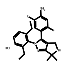 CCc1cccc(CC)c1-n1nc2c(c1-c1cc(F)c(N)cc1F)CNC2(C)C.Cl